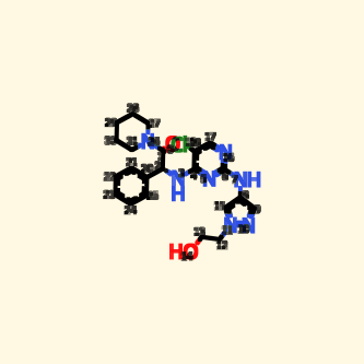 O=C([C@@H](Nc1nc(Nc2cnn(CCO)c2)ncc1Cl)c1ccccc1)N1CCCCC1